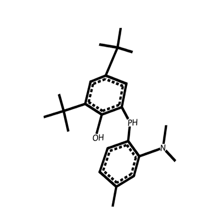 Cc1ccc(Pc2cc(C(C)(C)C)cc(C(C)(C)C)c2O)c(N(C)C)c1